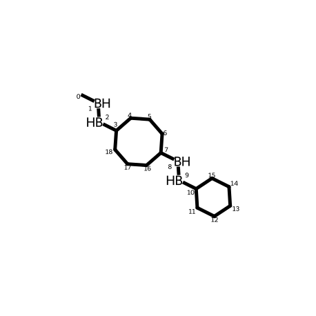 CBBC1CCCC(BBC2CCCCC2)CCC1